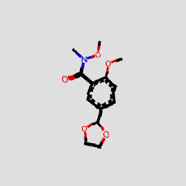 COc1ccc(C2OCCO2)cc1C(=O)N(C)OC